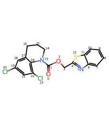 O=C(OCc1nc2ccccc2s1)N1CCCc2cc(Cl)cc(Cl)c21